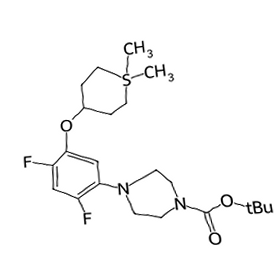 CC(C)(C)OC(=O)N1CCN(c2cc(OC3CCS(C)(C)CC3)c(F)cc2F)CC1